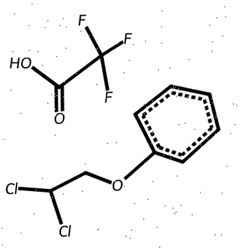 ClC(Cl)COc1ccccc1.O=C(O)C(F)(F)F